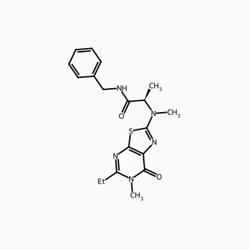 CCc1nc2sc(N(C)[C@H](C)C(=O)NCc3ccccc3)nc2c(=O)n1C